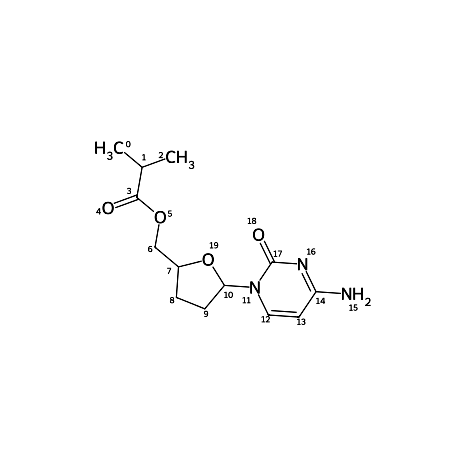 CC(C)C(=O)OCC1CCC(n2ccc(N)nc2=O)O1